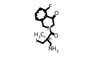 C[C@](CN)(CI)C(=O)N1CC(=O)c2c(F)cccc2C1